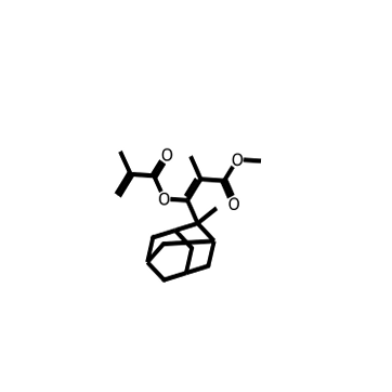 C=C(C)C(=O)OC(=C(C)C(=O)OC)C1(C)C2CC3CC(C2)CC1C3